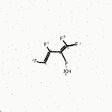 FC=C(F)C(F)=C(F)F.[KH]